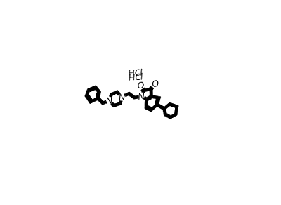 Cl.Cl.O=C1C(=O)N(CCN2CCN(Cc3ccccc3)CC2)c2ccc(C3CCCCC3)cc21